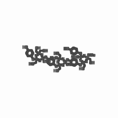 COP1(CO)=NP(CO)(Oc2ccc(OP3(OC)=NP(CO)(OC)=NP(CO)(Oc4ccc(OP5(OC)=NP(CO)(CO)=NP(CO)(Oc6ccc(O)cc6)=N5)cc4)=N3)cc2)=NP(OC)(Oc2ccc(O)cc2)=N1